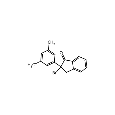 Cc1cc(C)cc(C2(Br)Cc3ccccc3C2=O)c1